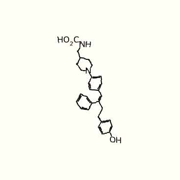 O=C(O)NCC1CCN(c2ccc(C=C(CCc3ccc(O)cc3)c3ccccc3)cc2)CC1